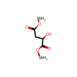 O=C(CC(O)C(=O)[O][SbH2])[O][SbH2]